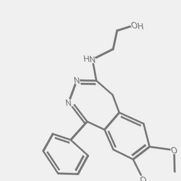 COc1cc2c(cc1OC)C(c1ccccc1)=NN=C(NCCO)C2